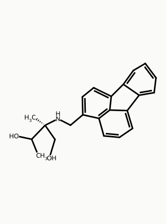 CC(O)[C@](C)(CO)NCc1ccc2c3c(cccc13)-c1ccccc1-2